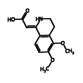 COc1ccc2c(c1OC)CCNC2=CC(=O)O